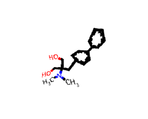 CN(C)C(CO)(CO)Cc1ccc(-c2[c]cccc2)cc1